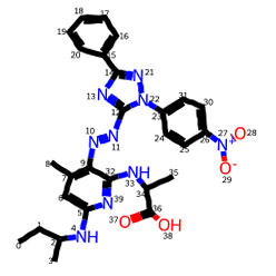 CCC(C)Nc1cc(C)c(N=Nc2nc(-c3ccccc3)nn2-c2ccc([N+](=O)[O-])cc2)c(NC(C)C(=O)O)n1